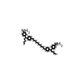 CCCCC(c1ccc(N)cc1)c1ccc(CCCCCCCCCCc2ccc(C(CCCC)c3ccc(N)cc3)cc2)cc1